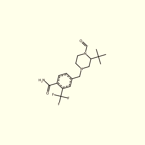 CC(C)(C)C1CN(Cc2ccc(C(N)=O)c(C(F)(F)F)c2)CCN1[C]=O